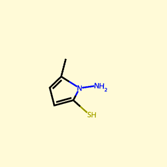 Cc1ccc(S)n1N